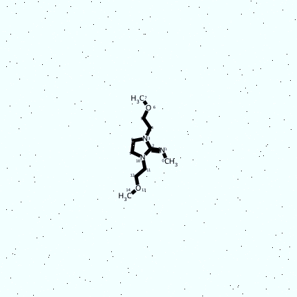 CN=C1N(CCOC)CCN1CCOC